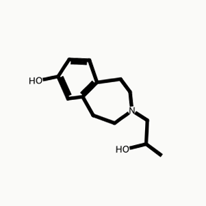 CC(O)CN1CCc2ccc(O)cc2CC1